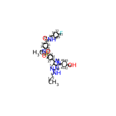 CCCCNc1ncc2c(-c3ccc(S(=O)(=O)N(C)c4ccc(C(=O)NCc5ccc(F)cc5)cc4)cc3)nn(C3CCC(O)CC3)c2n1